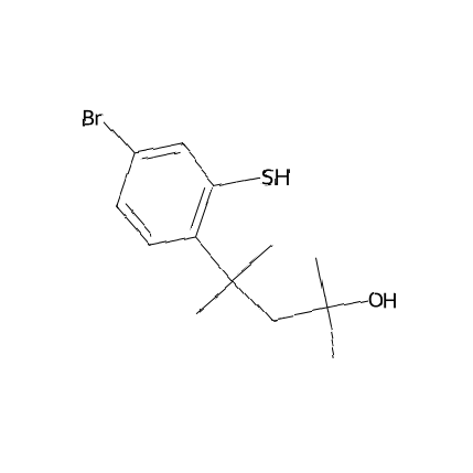 CC(C)(O)CC(C)(C)c1ccc(Br)cc1S